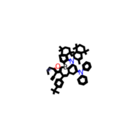 C#Cc1c(/C=C\C)oc2c1C(c1ccc(C(C)(C)C)cc1)=CC1CC(N(c3ccccc3)c3ccccc3)=CC3=C1B2c1ccc2c(c1N3C1CC3=C(C=C1C)C(C)(C)CCC3(C)C)C(C)(C)CCC2(C)C